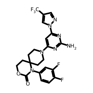 Nc1nc(N2CCC3(CCOC(=O)N3c3ccc(F)c(F)c3)CC2)cc(-n2cc(C(F)(F)F)cn2)n1